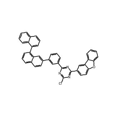 Clc1nc(-c2cccc(-c3ccc4cccc(-c5cccc6ccccc56)c4c3)c2)nc(-c2ccc3oc4ccccc4c3c2)n1